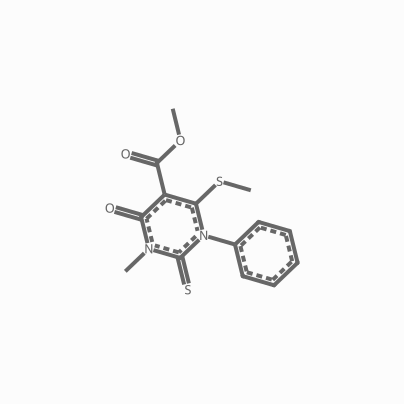 COC(=O)c1c(SC)n(-c2ccccc2)c(=S)n(C)c1=O